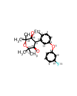 CCc1ccc(Oc2cccc(F)c2)cc1C1C(=O)C(C)(C)OC(C)(C)C1=O